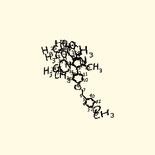 COc1ccc(CCOc2ccc(-c3c(C)nc(C)c(C(OC(C)(C)C)C(=O)O)c3N3CCC(C)(C)CC3)cc2)cc1